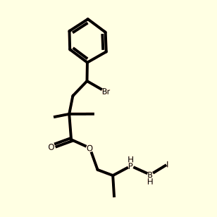 CC(COC(=O)C(C)(C)CC(Br)c1ccccc1)PBI